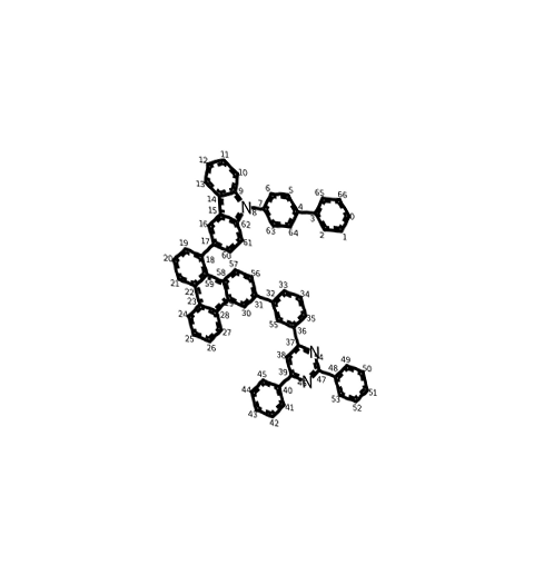 c1ccc(-c2ccc(-n3c4ccccc4c4cc(-c5cccc6c7ccccc7c7cc(-c8cccc(-c9cc(-c%10ccccc%10)nc(-c%10ccccc%10)n9)c8)ccc7c56)ccc43)cc2)cc1